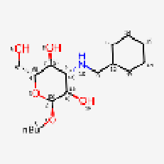 CCCCO[C@H]1O[C@H](CO)[C@@H](O)[C@H](NCC2CCCCC2)[C@H]1O